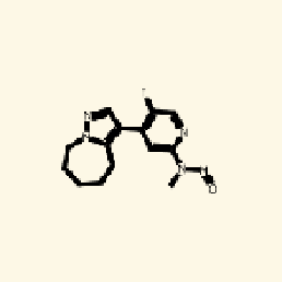 CN(N=O)c1cc(-c2cnn3c2CCCCC3)c(F)cn1